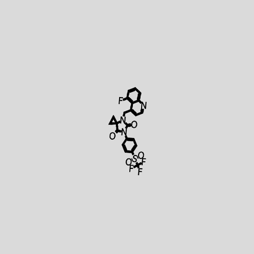 O=C1N(c2ccc(S(=O)(=O)C(F)(F)F)cc2)C(=O)C2(CC2)N1Cc1ccnc2cccc(F)c12